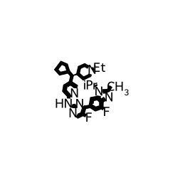 CCN1CCC([C@@H](c2ccc(Nc3ncc(F)c(-c4cc(F)c5nc(C)n(C(C)C)c5c4)n3)nc2)C2CCCC2)CC1